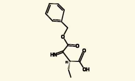 CC[C@H](C(=N)C(=O)OCc1ccccc1)C(=O)O